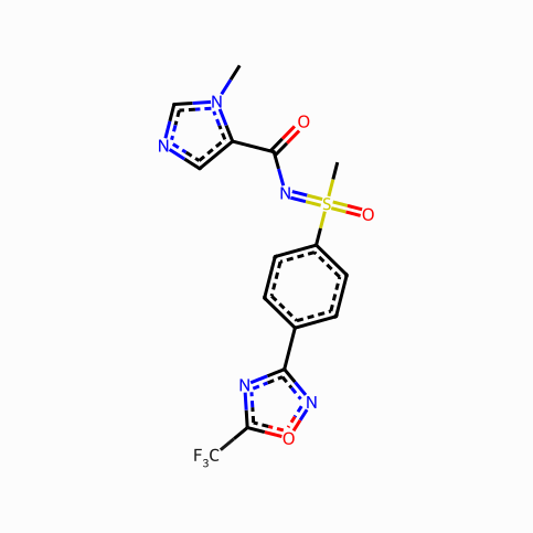 Cn1cncc1C(=O)N=S(C)(=O)c1ccc(-c2noc(C(F)(F)F)n2)cc1